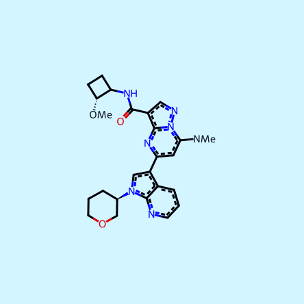 CNc1cc(-c2cn([C@@H]3CCCOC3)c3ncccc23)nc2c(C(=O)NC3CC[C@H]3OC)cnn12